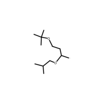 [CH2]C(C[CH]OC(C)(C)C)OCC(C)C